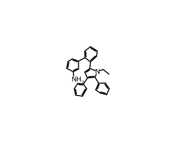 CCn1c(-c2ccccc2-c2cccc(N)c2)cc(-c2ccccc2)c1-c1ccccc1